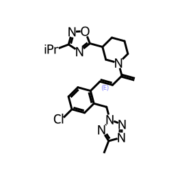 C=C(/C=C/c1ccc(Cl)cc1Cn1nnc(C)n1)N1CCCC(c2nc(C(C)C)no2)C1